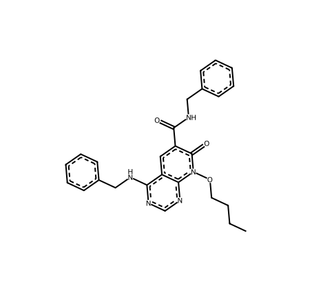 CCCCOn1c(=O)c(C(=O)NCc2ccccc2)cc2c(NCc3ccccc3)ncnc21